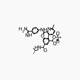 Cc1ccc(-c2ccc(C(=O)NCC(C)C)cc2C(=O)OS(C)(=O)=O)c(C(=O)Nc2ccc(C(=N)N)cc2)n1